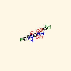 O=C(COc1ccc(Cl)c(F)c1)NC12CCC(NC(=O)C3CCC(c4ccc(F)cc4)CN3)(CC1)CC2O